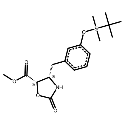 COC(=O)[C@H]1OC(=O)N[C@H]1Cc1cccc(O[Si](C)(C)C(C)(C)C)c1